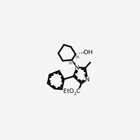 CCOC(=O)c1nc(C)n([C@H]2CCCC[C@@H]2O)c1-c1ccccc1